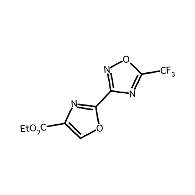 CCOC(=O)c1coc(-c2noc(C(F)(F)F)n2)n1